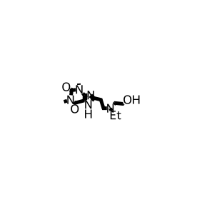 CCN(CCO)CCc1nc2c([nH]1)c(=O)n(C)c(=O)n2C